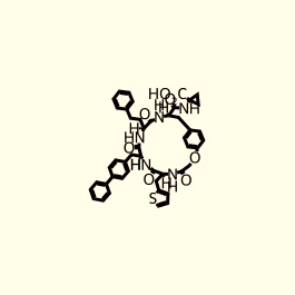 O=C1COc2ccc(cc2)C[C@@H](C(=O)NC2(C(=O)O)CC2)NC(=O)[C@@H](CCc2ccccc2)NC(=O)[C@H](Cc2ccc(-c3ccccc3)cc2)NC(=O)[C@@H](Cc2cccs2)N1